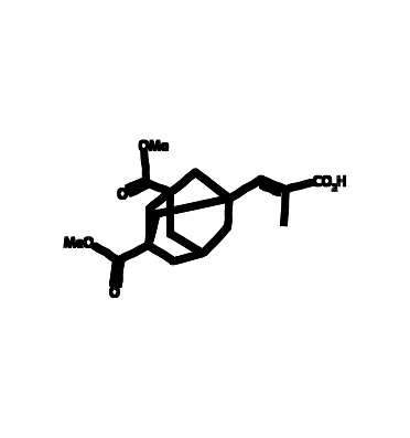 COC(=O)C12CC3CC(C=C(C)C(=O)O)(C1)CC(C(=O)OC)(C3)C2